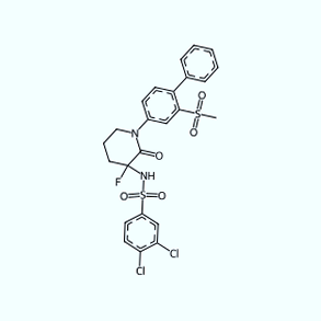 CS(=O)(=O)c1cc(N2CCCC(F)(NS(=O)(=O)c3ccc(Cl)c(Cl)c3)C2=O)ccc1-c1ccccc1